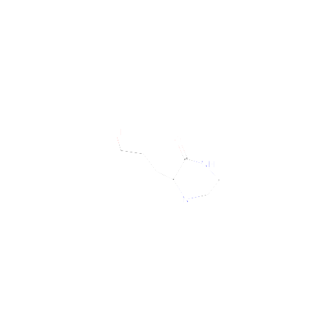 O=C1NCCNC1CCCO